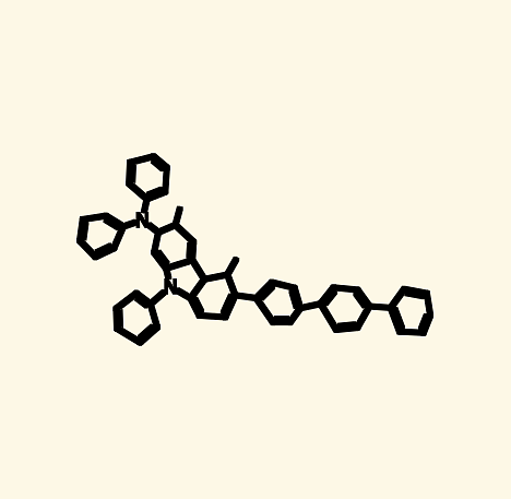 CC1C=C2C(=CC1N(c1ccccc1)c1ccccc1)N(c1ccccc1)C1=CC=C(c3ccc(-c4ccc(-c5ccccc5)cc4)cc3)C(C)C21